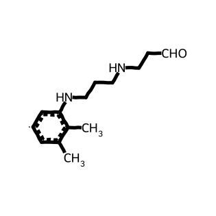 Cc1c[c]cc(NCCCNCCC=O)c1C